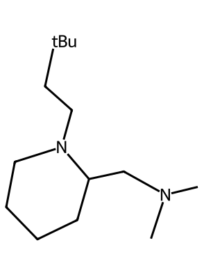 CN(C)CC1CCCCN1CCC(C)(C)C